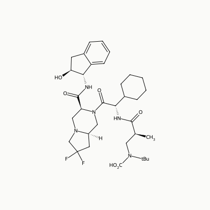 C[C@@H](CN(C(=O)O)C(C)(C)C)C(=O)N[C@H](C(=O)N1C[C@H]2CC(F)(F)CN2C[C@H]1C(=O)N[C@H]1c2ccccc2C[C@@H]1O)C1CCCCC1